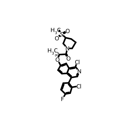 C[C@@H](Oc1ccc2c(-c3ccc(F)cc3Cl)cnc(Cl)c2c1)C(=O)N1CCCC(S(C)(=O)=O)C1